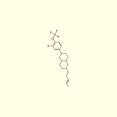 C/C=C/CCC1CCC2CC(c3ccc(OC(F)(F)F)c(F)c3)CCC2C1